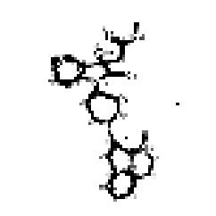 CNC(=O)CC1(O)C(=O)N(C2CCN(C3Cc4cccc5c4C3N(C)CC5)CC2)c2ccccc21